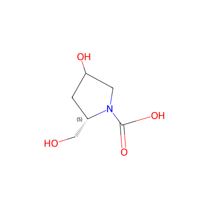 O=C(O)N1CC(O)C[C@H]1CO